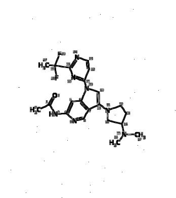 CC(=O)Nc1cc2c(cn1)c(N1CCC(N(C)C)C1)cn2-c1ccnc(C(C)(F)F)n1